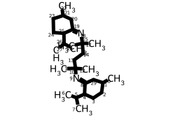 CC1CCC(C(C)C)C(=NC(C)(C)CCC(C)(C)N=C2CC(C)CCC2C(C)C)C1